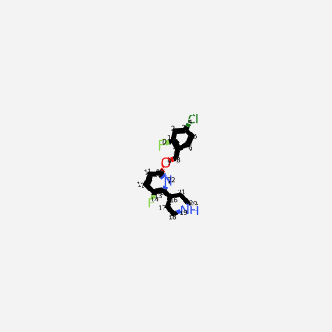 Fc1cc(Cl)ccc1COc1ccc(F)c(C2CCNCC2)n1